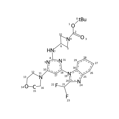 CC(C)(C)OC(=O)N1CC(Nc2nc(N3CCOCC3)cc(-n3c(C(F)F)nc4ccccc43)n2)C1